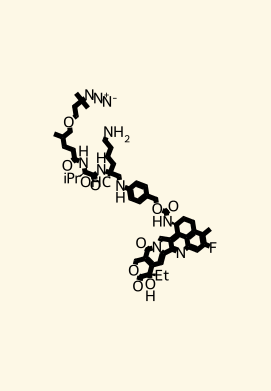 CC[C@@]1(O)C(=O)OCc2c1cc1n(c2=O)Cc2c-1nc1cc(F)c(C)c3c1c2[C@@H](NC(=O)OCc1ccc(NC[C@@](C=O)(CCCCN)NC(=O)[C@@H](NC(=O)CCC(C)COCCC(C)(C)N=[N+]=[N-])C(C)C)cc1)CC3